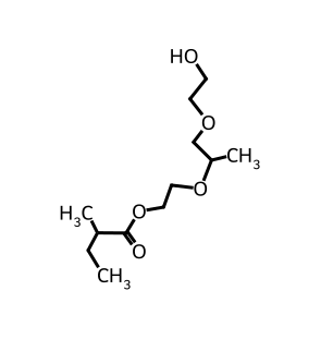 CCC(C)C(=O)OCCOC(C)COCCO